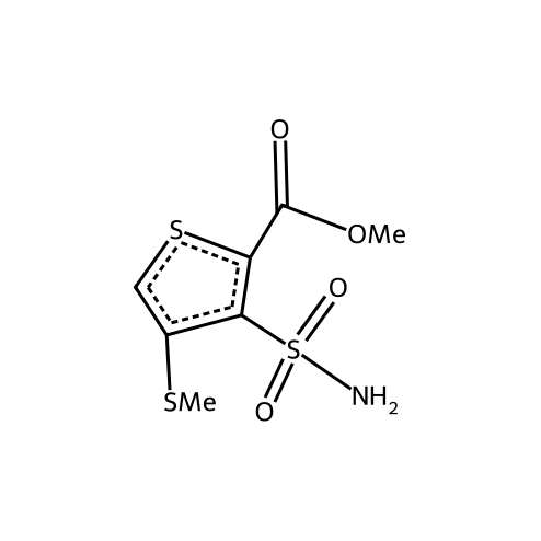 COC(=O)c1scc(SC)c1S(N)(=O)=O